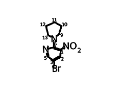 O=[N+]([O-])c1cc(Br)cnc1N1CCCCC1